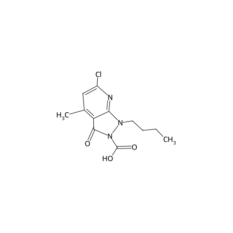 CCCCn1c2nc(Cl)cc(C)c2c(=O)n1C(=O)O